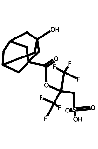 O=C(OC(CS(=O)(=O)O)(C(F)(F)F)C(F)(F)F)C12CC3CC(CC(O)(C3)C1)C2